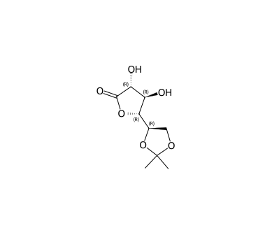 CC1(C)OC[C@H]([C@@H]2OC(=O)[C@H](O)[C@H]2O)O1